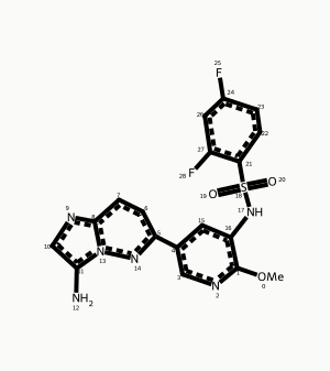 COc1ncc(-c2ccc3ncc(N)n3n2)cc1NS(=O)(=O)c1ccc(F)cc1F